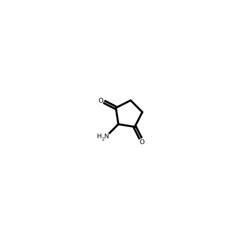 N[C]1C(=O)CCC1=O